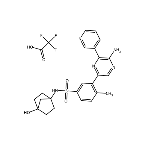 Cc1ccc(S(=O)(=O)NC23CCC(O)(CC2)C3)cc1-c1cnc(N)c(-c2cccnc2)n1.O=C(O)C(F)(F)F